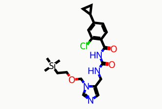 C[Si](C)(C)CCOCn1cncc1CNC(=O)NC(=O)c1ccc(C2CC2)cc1Cl